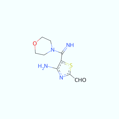 N=C(c1sc(C=O)nc1N)N1CCOCC1